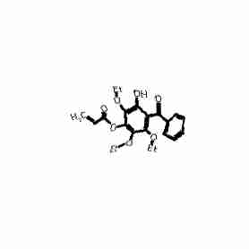 C=CC(=O)Oc1c(OCC)c(O)c(C(=O)c2ccccc2)c(OCC)c1OCC